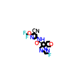 N#Cc1cc(NC(=O)[C@H]2CC3(CCOCC3)c3c2cnc2cc(F)nn32)cnc1OC(F)F